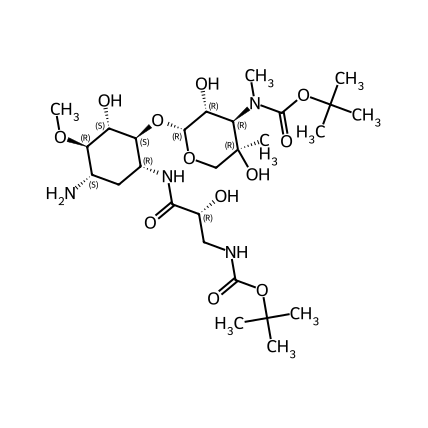 CO[C@H]1[C@H](O)[C@@H](O[C@H]2OC[C@](C)(O)[C@H](N(C)C(=O)OC(C)(C)C)[C@H]2O)[C@H](NC(=O)[C@H](O)CNC(=O)OC(C)(C)C)C[C@@H]1N